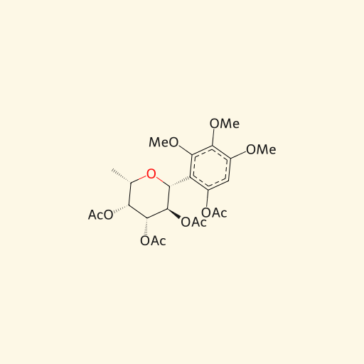 COc1cc(OC(C)=O)c([C@H]2O[C@@H](C)[C@@H](OC(C)=O)[C@@H](OC(C)=O)[C@@H]2OC(C)=O)c(OC)c1OC